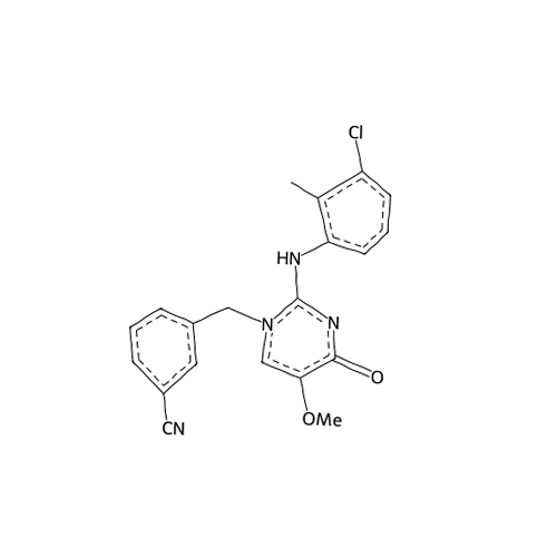 COc1cn(Cc2cccc(C#N)c2)c(Nc2cccc(Cl)c2C)nc1=O